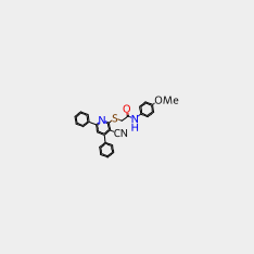 COc1ccc(NC(=O)CSc2nc(-c3ccccc3)cc(-c3ccccc3)c2C#N)cc1